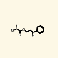 CCNC(=O)OCCNc1ccccc1